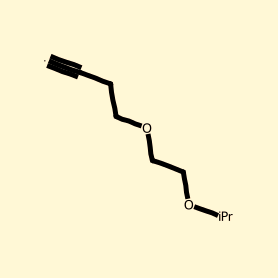 [C]#CCCOCCOC(C)C